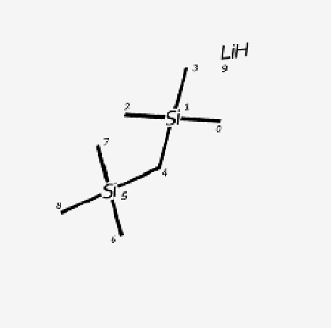 C[Si](C)(C)C[Si](C)(C)C.[LiH]